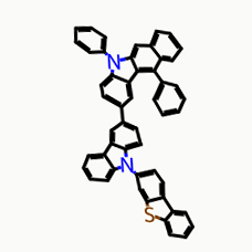 c1ccc(-c2c3ccccc3cc3c2c2cc(-c4ccc5c(c4)c4ccccc4n5-c4ccc5c(c4)sc4ccccc45)ccc2n3-c2ccccc2)cc1